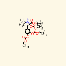 CCOC(=O)Oc1ccc(C[C@](NC(C)C)(OC(=O)OC(C)(C)CC)C(=O)O)cc1OC(=O)OCC